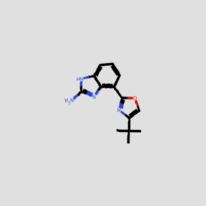 CC(C)(C)c1coc(-c2cccc3[nH]c(N)nc23)n1